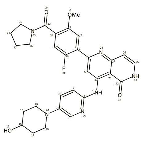 COc1cc(-c2cc(Nc3ccc(N4CCC(O)CC4)cn3)c3c(=O)[nH]ccc3n2)c(F)cc1C(=O)N1CCCC1